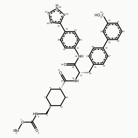 CC(C)(C)OC(=O)NC[C@H]1CC[C@H](C(=O)N[C@@H](Cc2ccc(-c3cccc(C(=O)O)c3)cc2)C(=O)Nc2ccc(-c3nn[nH]n3)cc2)CC1